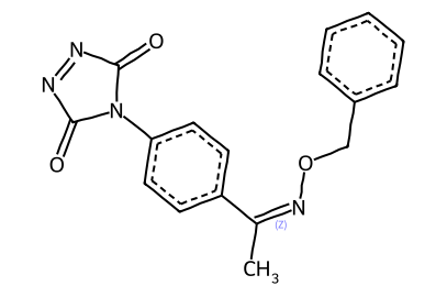 C/C(=N/OCc1ccccc1)c1ccc(N2C(=O)N=NC2=O)cc1